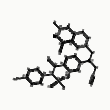 C#CCN(Cc1ccc2nc(C)[nH]c(=O)c2c1)c1ccc(C(=O)C(c2ccc(F)cc2)S(C)(=O)=O)c(F)c1